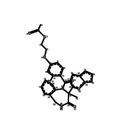 CC(=O)OCCOc1ccc(C(=O)N2c3ccccc3CNC(=O)C2(C)c2ccc3cccc-3o2)c(Cl)c1